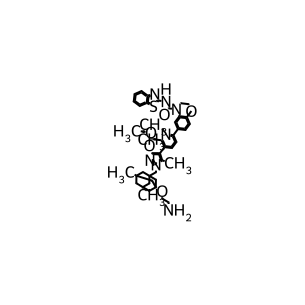 Cc1c(-c2ccc(-c3ccc4c(c3)N(C(=O)Nc3nc5ccccc5s3)CCO4)nc2C(=O)OC(C)(C)C)cnn1CC12CC3(C)CC(C)(C1)CC(OCCN)(C3)C2